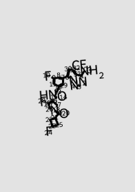 Nc1ncnn2c(-c3cc(F)cc(C(=O)N[C@@H]4CN(C(=O)C5CC(F)C5)C[C@@H]4F)c3)cc(C(F)(F)F)c12